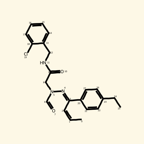 C/C=C\C(=N/N(C=O)CC(=O)NCc1ccccc1Cl)c1ccc(CC)cc1